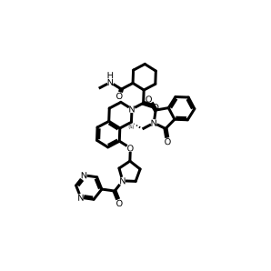 CNC(=O)C1CCCCC1C(=O)N1CCc2cccc(OC3CCN(C(=O)c4cncnc4)C3)c2[C@H]1CN1C(=O)c2ccccc2C1=O